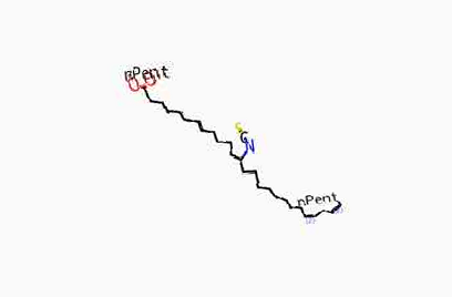 CCCCC/C=C\C/C=C\CCCCCCCCC(CCCCCCCCCCCC(=O)OCCCCC)N=C=S